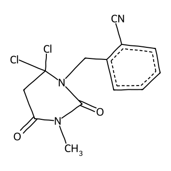 CN1C(=O)CC(Cl)(Cl)N(Cc2ccccc2C#N)C1=O